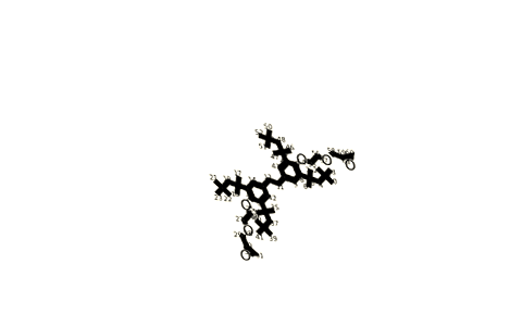 CC(C)(C)CC(C)(C)c1cc(CCc2cc(C(C)(C)CC(C)(C)C)c(OCCOCC3CO3)c(C(C)(C)CC(C)(C)C)c2)cc(C(C)(C)CC(C)(C)C)c1OCCOCC1CO1